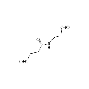 O=CCCNC(=O)CCC=O